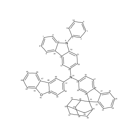 c1ccc(-n2c3ccccc3c3cc(N(c4ccc5c(c4)C4(c6ccccc6-5)C5CC6CC(C5)CC4C6)c4ccc5oc6ccccc6c5c4)ccc32)cc1